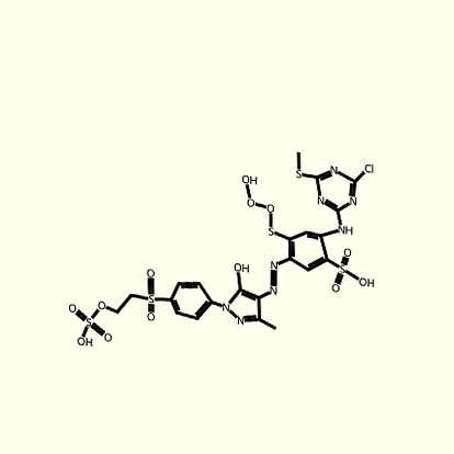 CSc1nc(Cl)nc(Nc2cc(SOOO)c(N=Nc3c(C)nn(-c4ccc(S(=O)(=O)CCOS(=O)(=O)O)cc4)c3O)cc2S(=O)(=O)O)n1